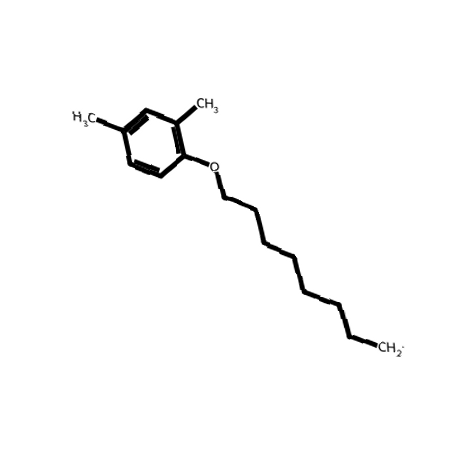 [CH2]CCCCCCCOc1ccc(C)cc1C